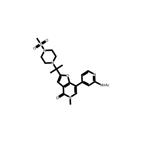 CC(=O)Nc1cc(-c2cn(C)c(=O)c3cc(C(C)(C)N4CCN(S(C)(=O)=O)CC4)oc23)ccn1